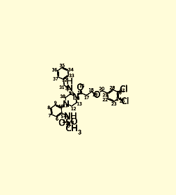 CS(=O)(=O)Nc1ccccc1N1CCN(C(=O)CCOCc2ccc(Cl)c(Cl)c2)C(NCc2ccccc2)C1